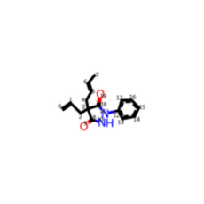 C=CCC1(C/C=C/C)C(=O)NN(c2ccccc2)C1=O